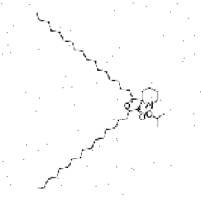 CCCCCCCCCCCCCCCCCC(=O)[C]1(C(=O)CCCCCCCCCCCCCCCCC)CCC[CH2][Al]1[O]C(C)C